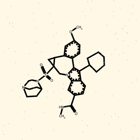 CNC(=O)c1ccc2c(C3CCCCC3)c3n(c2c1)CC1(S(=O)(=O)N2CCN4CCC2CC4)CC1c1cc(OC)ccc1-3